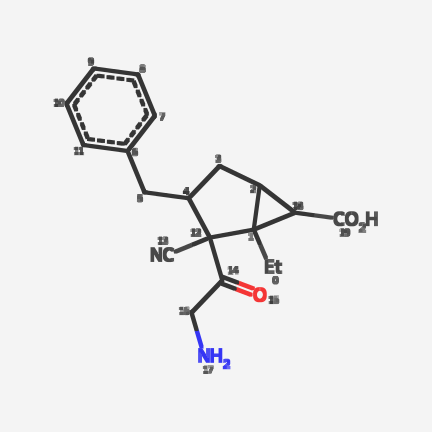 CCC12C(CC(Cc3ccccc3)C1(C#N)C(=O)CN)C2C(=O)O